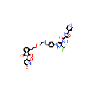 CN(CCOCCCc1cccc2c1C(=O)N(C1CCC(=O)NC1=O)C2=O)Cc1ccc(-n2cc(NC(=O)c3coc(-c4ccncc4)n3)c(C(F)F)n2)cc1